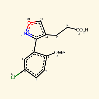 COc1ccc(Cl)cc1-c1nocc1CCC(=O)O